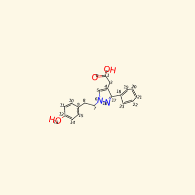 O=C(O)Cc1cn(CCc2ccc(O)cc2)nc1-c1ccccc1